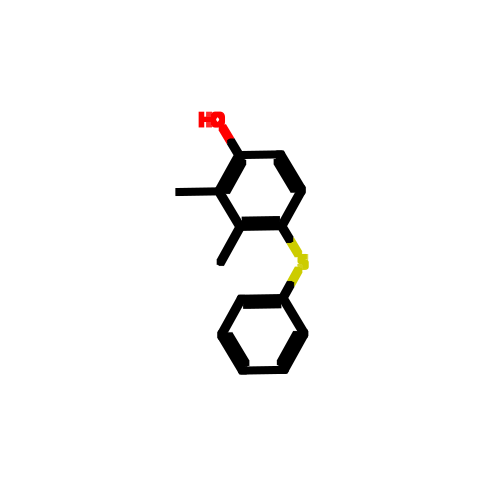 Cc1c(O)ccc(Sc2ccccc2)c1C